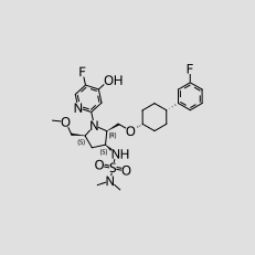 COC[C@@H]1C[C@H](NS(=O)(=O)N(C)C)[C@H](CO[C@H]2CC[C@@H](c3cccc(F)c3)CC2)N1c1cc(O)c(F)cn1